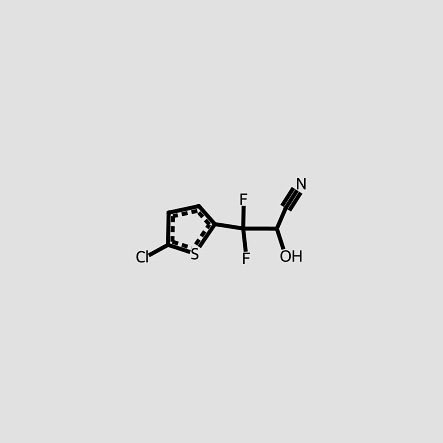 N#CC(O)C(F)(F)c1ccc(Cl)s1